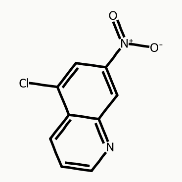 O=[N+]([O-])c1cc(Cl)c2cccnc2c1